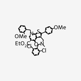 CCOC(=O)c1cn(Cc2ccccc2OC)c2sc(-c3ccc(OC)cc3)c(CN(C)Cc3c(Cl)cccc3Cl)c2c1=O